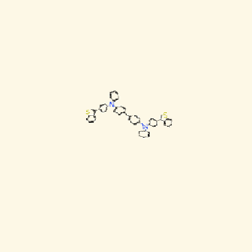 c1ccc(N(c2ccc(-c3ccc(N(c4ccccc4)c4ccc(-c5csc6ccccc56)cc4)cc3)cc2)c2ccc(-c3csc4ccccc34)cc2)cc1